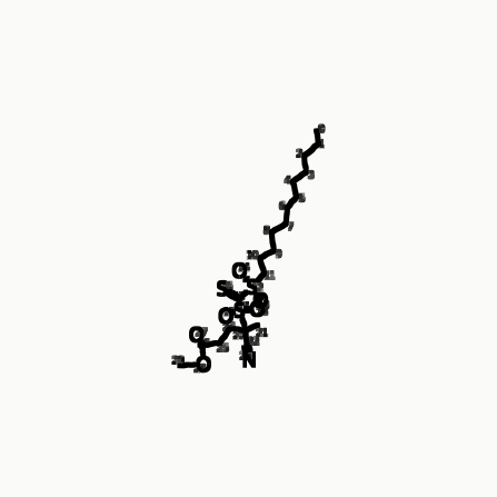 CCCCCCCCCCCCS(=O)(=O)C(=S)S(=O)(=O)C(C)(C#N)CCC(=O)OC